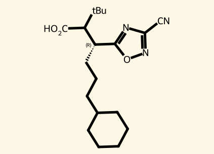 CC(C)(C)C(C(=O)O)[C@@H](CCCC1CCCCC1)c1nc(C#N)no1